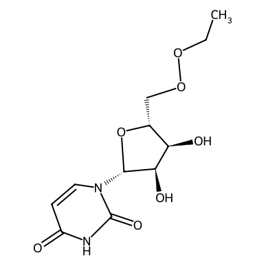 CCOOC[C@H]1O[C@@H](n2ccc(=O)[nH]c2=O)[C@H](O)[C@@H]1O